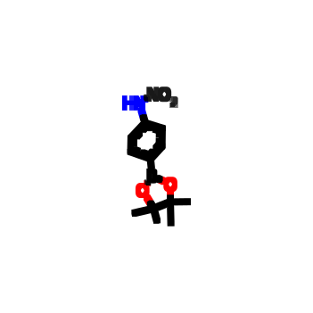 CC1(C)OB(c2ccc(N[N+](=O)[O-])cc2)OC1(C)C